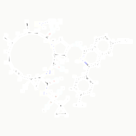 COc1ccc2c(O[C@@H]3C[C@H]4C(=O)N[C@]5(C(=O)NS(=O)(=O)C6(C)CC6)C[C@H]5C=CCC[C@@H](C)C[C@@H](C)[C@H](NC(=O)O)C(=O)N4C3)nc(-c3ccc(C(C)(C)C)cc3)cc2c1